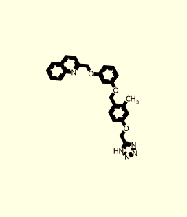 Cc1cc(OCc2nnn[nH]2)ccc1COc1cccc(OCc2ccc3ccccc3n2)c1